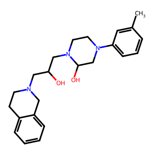 Cc1cccc(N2CCN(CC(O)CN3CCc4ccccc4C3)C(O)C2)c1